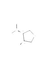 C[C@@H]1CNC[C@@H]1N(C)C